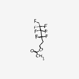 CC(=O)OCCC(F)(F)C(F)(F)C(F)(F)CF